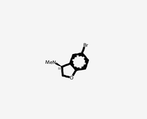 CN[C@@H]1COc2ccc(Br)cc21